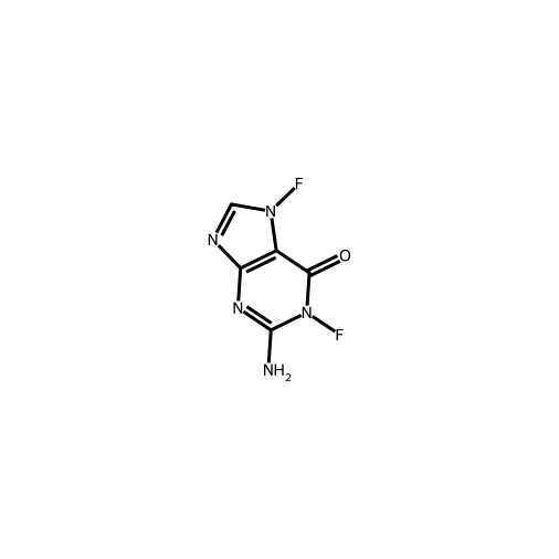 Nc1nc2ncn(F)c2c(=O)n1F